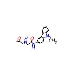 CCn1c2ccccc2c2cc(NC(=O)CNCC3CO3)ccc21